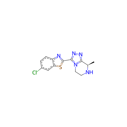 C[C@H]1NCCn2c(-c3nc4ccc(Cl)cc4s3)nnc21